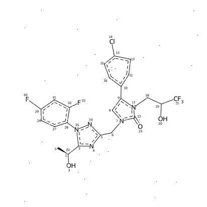 C[C@H](O)c1nc(Cn2cc(-c3ccc(Cl)cc3)n(CC(O)C(F)(F)F)c2=O)nn1-c1ccc(F)cc1F